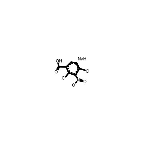 O=C(O)c1ccc(Cl)c([N+](=O)[O-])c1Cl.[NaH]